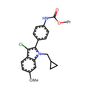 COc1ccc2c(Cl)c(-c3ccc(NC(=O)OC(C)C)cc3)n(CC3CC3)c2c1